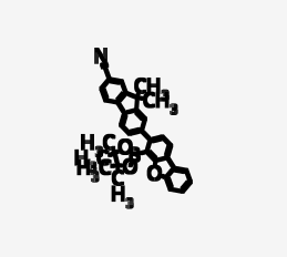 CC1(C)c2cc(C#N)ccc2-c2ccc(-c3ccc4c(oc5ccccc54)c3B3OC(C)(C)C(C)(C)O3)cc21